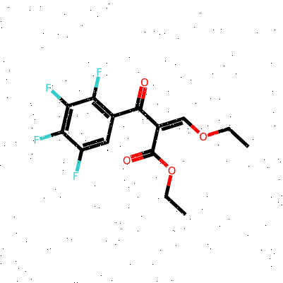 CCO/C=C(\C(=O)OCC)C(=O)c1cc(F)c(F)c(F)c1F